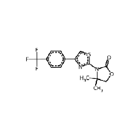 CC1(C)COC(=O)N1c1nc(-c2ccc(C(F)(F)F)cc2)cs1